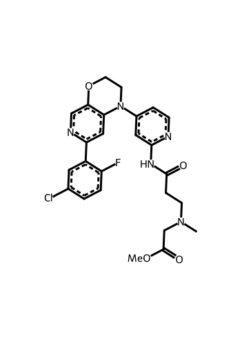 COC(=O)CN(C)CCC(=O)Nc1cc(N2CCOc3cnc(-c4cc(Cl)ccc4F)cc32)ccn1